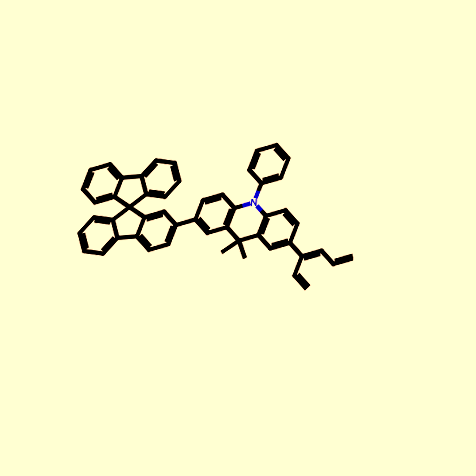 C=C/C=C(\C=C)c1ccc2c(c1)C(C)(C)c1cc(-c3ccc4c(c3)C3(c5ccccc5-c5ccccc53)c3ccccc3-4)ccc1N2c1ccccc1